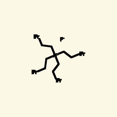 CC(C)CC[N+](CCC(C)C)(CCC(C)C)CCC(C)C.[F-]